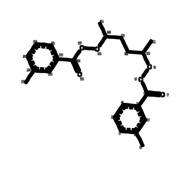 Cc1cccc(C(=O)OOC(C)CCC(C)OOC(=O)c2cccc(C)c2)c1